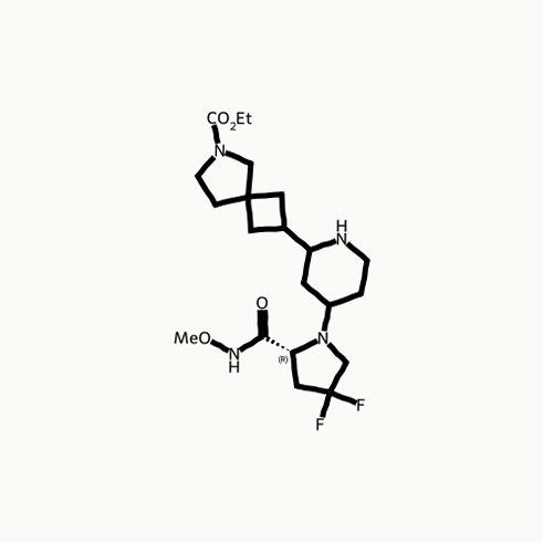 CCOC(=O)N1CCC2(CC(C3CC(N4CC(F)(F)C[C@@H]4C(=O)NOC)CCN3)C2)C1